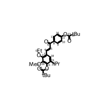 CCOc1c(C=CC(=O)c2ccc(OC(=O)C(C)(C)C)cc2)cc(C(C)C)c(OC(=O)C(C)(C)C)c1OC